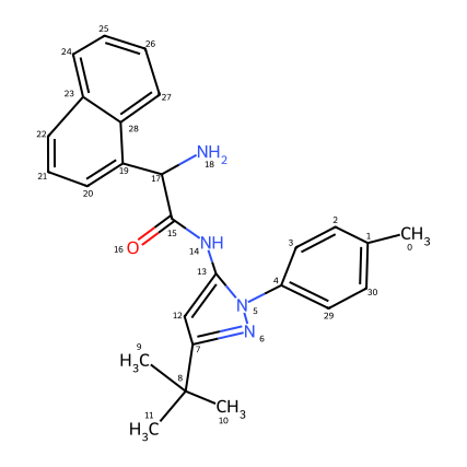 Cc1ccc(-n2nc(C(C)(C)C)cc2NC(=O)C(N)c2cccc3ccccc23)cc1